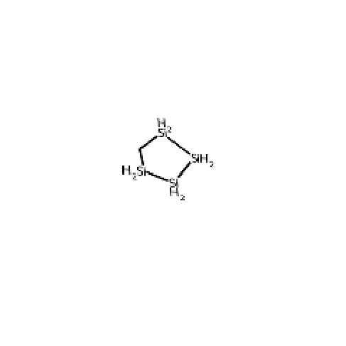 C1[SiH2][SiH2][SiH2][SiH2]1